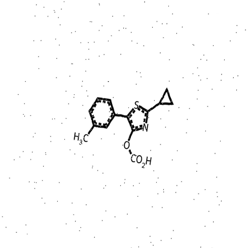 Cc1cccc(-c2sc(C3CC3)nc2OC(=O)O)c1